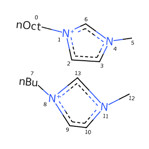 CCCCCCCC[n+]1ccn(C)c1.CCCC[n+]1ccn(C)c1